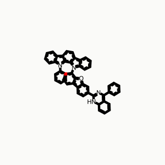 C1=CC2=C(c3ccccc3)N=C(c3ccc4c(c3)oc3c(-n5c6ccccc6c6ccc7c8ccccc8n(-c8ccccc8)c7c65)cccc34)NC2C=C1